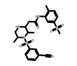 Cc1ccc(S(C)(=O)=O)cc1NC(=O)CC1NCC(C)N(S(=O)(=O)c2cccc(C#N)c2)C1C